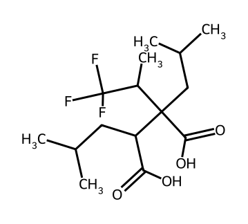 CC(C)CC(C(=O)O)C(CC(C)C)(C(=O)O)C(C)C(F)(F)F